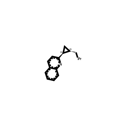 CC(C)C[C@H]1C[C@@H]1c1ccc2ccccc2n1